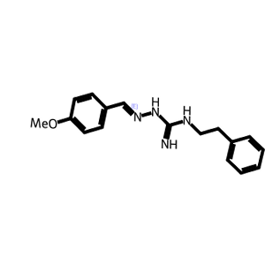 COc1ccc(/C=N/NC(=N)NCCc2ccccc2)cc1